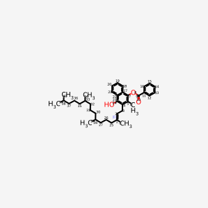 C/C(=C\Cc1c(C)c(OC(=O)c2ccccc2)c2ccccc2c1O)CCCC(C)CCCC(C)CCCC(C)C